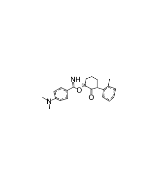 Cc1ccccc1C1CCC[C@@H](OC(=N)c2ccc(N(C)C)cc2)C1=O